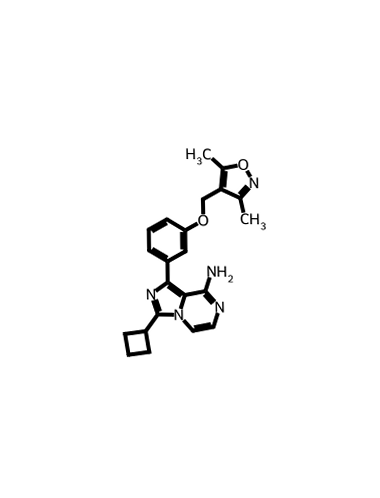 Cc1noc(C)c1COc1cccc(-c2nc(C3CCC3)n3ccnc(N)c23)c1